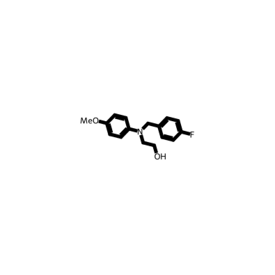 COc1ccc(N(CCO)Cc2ccc(F)cc2)cc1